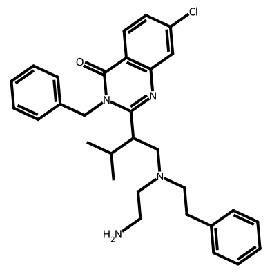 CC(C)C(CN(CCN)CCc1ccccc1)c1nc2cc(Cl)ccc2c(=O)n1Cc1ccccc1